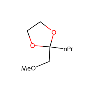 CCCC1(COC)OCCO1